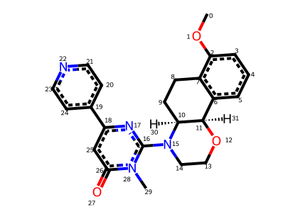 COc1cccc2c1CC[C@H]1[C@@H]2OCCN1c1nc(-c2ccncc2)cc(=O)n1C